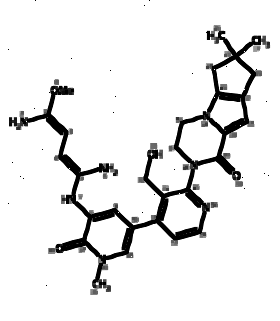 CO/C(N)=C/C=C(\N)Nc1cc(-c2ccnc(N3CCn4c(cc5c4CC(C)(C)C5)C3=O)c2CO)cn(C)c1=O